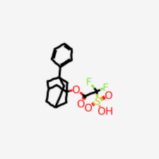 O=C(OC12CC3CC(C1)CC(c1ccccc1)(C3)C2)C(F)(F)S(=O)(=O)O